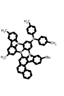 Cc1ccc(N(c2ccc(C)cc2)c2cc3c4c(c2)-n2c5cc(C(C)(C)C)ccc5c5c6c(ccc7ccccc76)cc(c52)B4c2cc(C)cc4c5cc(C)ccc5n-3c24)cc1